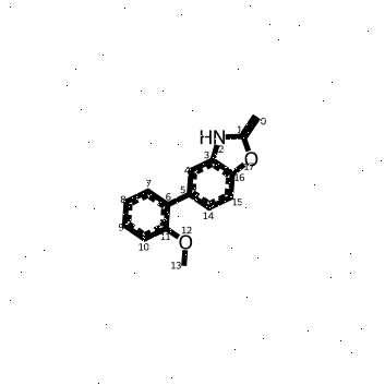 C=C1Nc2cc(-c3ccccc3OC)ccc2O1